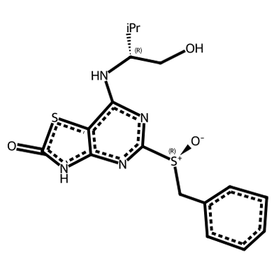 CC(C)[C@H](CO)Nc1nc([S@@+]([O-])Cc2ccccc2)nc2[nH]c(=O)sc12